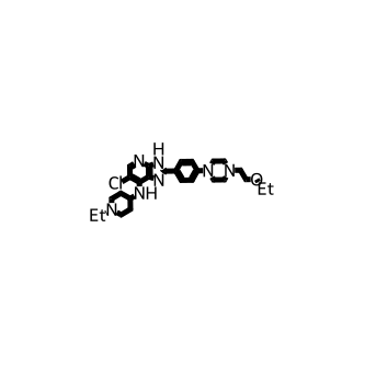 CCOCCN1CCN(c2ccc(-c3nc4c(NC5CCN(CC)CC5)c(Cl)cnc4[nH]3)cc2)CC1